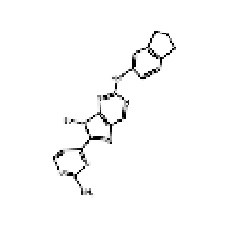 CCn1c(-c2ccnc(N)n2)nc2cnc(Nc3ccc4c(c3)CCC4)nc21